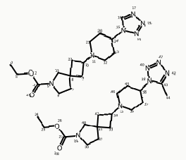 CCOC(=O)N1CCC2(CC(N3CCC(n4cnnn4)CC3)C2)C1.CCOC(=O)N1CCC2(CC(N3CCC(n4nnnc4C)CC3)C2)C1